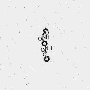 O=C(COc1ccccc1)Nc1ccc(C(=O)NCc2ccco2)cc1